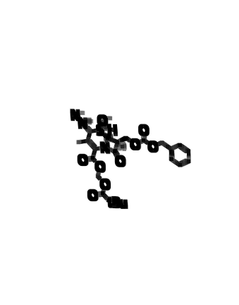 CC1=C(C(=O)OCOC(=O)C(C)(C)C)N2C(=O)[C@H](COC(=O)OCc3ccccc3)[C@H]2[S+]([O-])C1=[N+]=[N-]